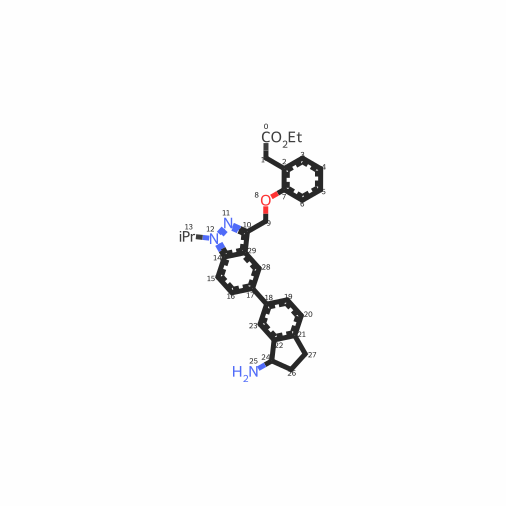 CCOC(=O)Cc1ccccc1OCc1nn(C(C)C)c2ccc(-c3ccc4c(c3)C(N)CC4)cc12